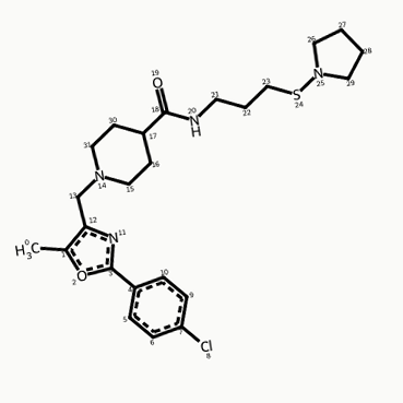 Cc1oc(-c2ccc(Cl)cc2)nc1CN1CCC(C(=O)NCCCSN2CCCC2)CC1